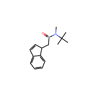 CN([Si](=O)CC1C=Cc2ccccc21)C(C)(C)C